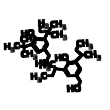 CC(C)(C)c1cc(CO)cc(C(C)(C)C)c1O.CCC(C)c1cc(CO)cc(C(C)CC)c1O